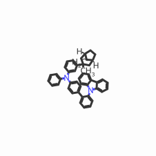 C=C1[C@H]2CC[C@H]1CC(C)(c1cccc(N(c3ccccc3)c3ccc(-c4ccccc4-n4c5ccccc5c5ccccc54)cc3)c1)C2